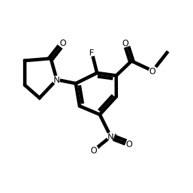 COC(=O)c1cc([N+](=O)[O-])cc(N2CCCC2=O)c1F